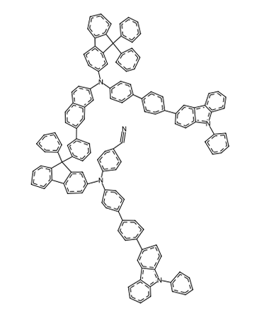 N#Cc1ccc(N(c2ccc(-c3ccc(-c4ccc5c(c4)c4ccccc4n5-c4ccccc4)cc3)cc2)c2ccc3c(c2)C(c2ccccc2)(c2cccc(-c4ccc5ccc(N(c6ccc(-c7ccc(-c8ccc9c(c8)c8ccccc8n9-c8ccccc8)cc7)cc6)c6ccc7c(c6)C(c6ccccc6)(c6ccccc6)c6ccccc6-7)cc5c4)c2)c2ccccc2-3)cc1